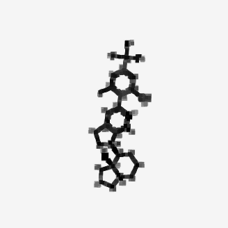 Cc1cc(C(F)(F)F)cc(O)c1-c1cc2c(nn1)N([C@H]1CCCN3CCC[C@H]13)CC2